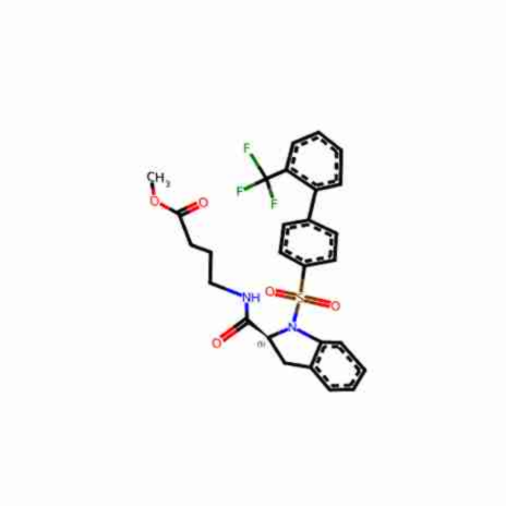 COC(=O)CCCNC(=O)[C@@H]1Cc2ccccc2N1S(=O)(=O)c1ccc(-c2ccccc2C(F)(F)F)cc1